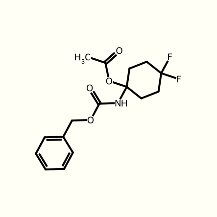 CC(=O)OC1(NC(=O)OCc2ccccc2)CCC(F)(F)CC1